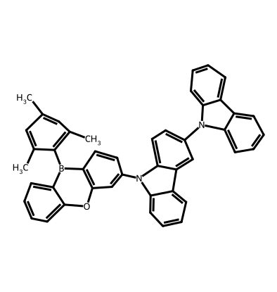 Cc1cc(C)c(B2c3ccccc3Oc3cc(-n4c5ccccc5c5cc(-n6c7ccccc7c7ccccc76)ccc54)ccc32)c(C)c1